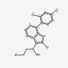 CCCCN(CCC(C)C)c1c(CC)nc2c(-c3ccc(Cl)cc3Cl)nccn12